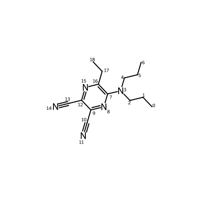 CCCN(CCC)c1nc(C#N)c(C#N)nc1CC